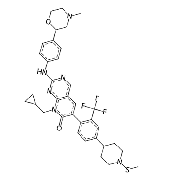 CSN1CCC(c2ccc(-c3cc4cnc(Nc5ccc(C6CN(C)CCO6)cc5)nc4n(CC4CC4)c3=O)c(C(F)(F)F)c2)CC1